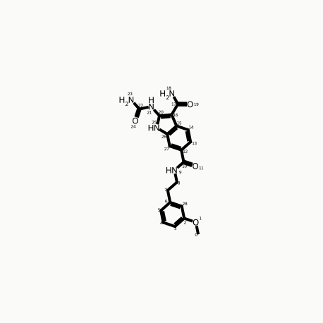 COc1cccc(CCNC(=O)c2ccc3c(C(N)=O)c(NC(N)=O)[nH]c3c2)c1